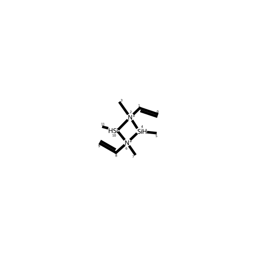 C=C[N+]1(C)[SiH](C)[N+](C)(C=C)[SiH]1C